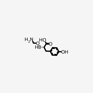 NCOB[C@@H](Cc1ccc(O)cc1)C(=O)O